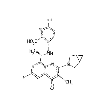 C[C@@H](Nc1ccc(Cl)nc1C(=O)O)c1cc(F)cc2c(=O)n(C)c(N3CC4CC4C3)nc12